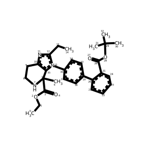 CCOC(=O)C1(C)NCCc2nc(CC)n(-c3ccc(-c4ccccc4C(=O)OC(C)(C)C)cc3)c21